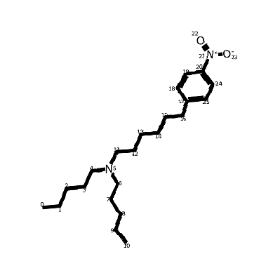 CCCCCN(CCCCC)CCCCCCc1ccc([N+](=O)[O-])cc1